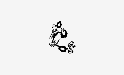 CS(=O)(=O)c1cccc(-c2noc(-c3nnn(-c4ccccc4F)c3-c3ccccn3)n2)c1